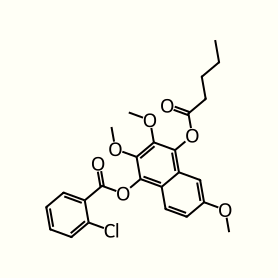 CCCCC(=O)Oc1c(OC)c(OC)c(OC(=O)c2ccccc2Cl)c2ccc(OC)cc12